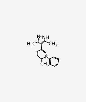 C=C1C=CC(c2c(C)n[nH]c2C)=CN1c1ccccc1